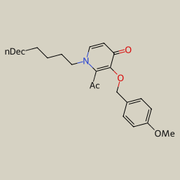 CCCCCCCCCCCCCCn1ccc(=O)c(OCc2ccc(OC)cc2)c1C(C)=O